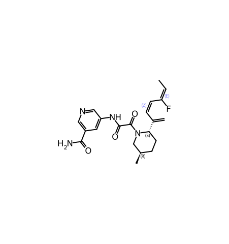 C=C(/C=C\C(F)=C/C)[C@@H]1CC[C@@H](C)CN1C(=O)C(=O)Nc1cncc(C(N)=O)c1